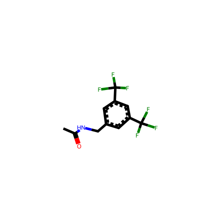 CC(=O)NCc1cc(C(F)(F)F)cc(C(F)(F)F)c1